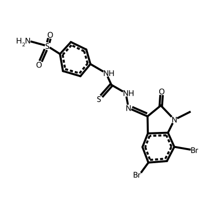 CN1C(=O)C(=NNC(=S)Nc2ccc(S(N)(=O)=O)cc2)c2cc(Br)cc(Br)c21